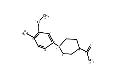 COc1cc(N2CCC(C(N)=O)CC2)ccc1N